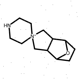 C1C[N+]2(CCN1)CC1C3CCC(O3)C1C2